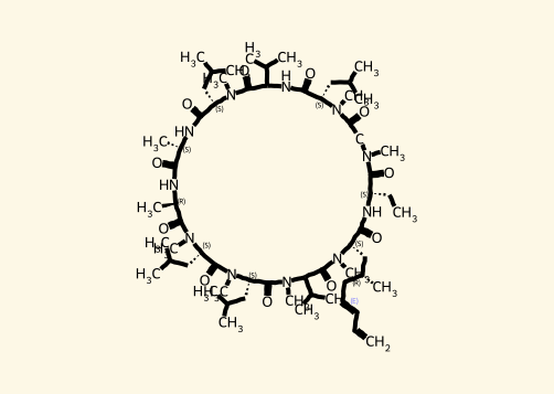 C=C/C=C/C[C@@H](C)C[C@H]1C(=O)N[C@@H](CC)C(=O)N(C)CC(=O)N(C)[C@@H](CC(C)C)C(=O)NC(C(C)C)C(=O)N(C)[C@@H](CC(C)C)C(=O)N[C@@H](C)C(=O)N[C@H](C)C(=O)N(C)[C@@H](CC(C)C)C(=O)N(C)[C@@H](CC(C)C)C(=O)N(C)C(C(C)C)C(=O)N1C